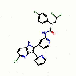 O=C(Nc1cc(-c2[nH]c3ccc(Cl)nc3c2-c2ccccn2)ccn1)[C@H](CC(F)F)c1ccc(F)cc1